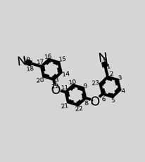 N#Cc1cccc(Oc2ccc(Oc3cccc(C#N)c3)cc2)c1